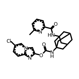 Cc1cccc(C(=O)NC23CC4CC(CC(NC(=O)Oc5cn6cc(Cl)ccc6n5)(C4)C2)C3)n1